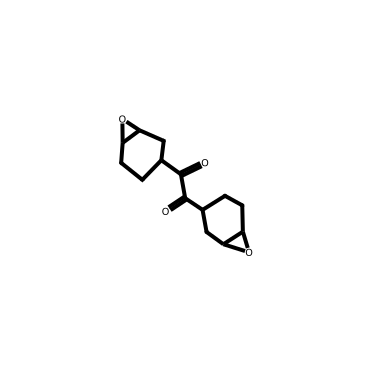 O=C(C(=O)C1CCC2OC2C1)C1CCC2OC2C1